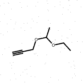 C#CCOC(C)OCC